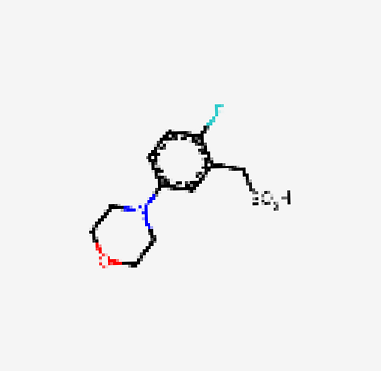 O=S(=O)(O)Cc1cc(N2CCOCC2)ccc1F